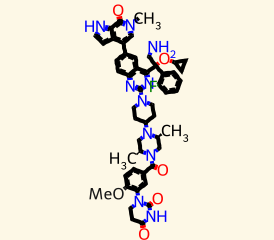 COc1ccc(C(=O)N2C[C@H](C)N(C3CCN(c4nc(C(CN)(OC5CC5)c5ccccc5F)c5cc(-c6cn(C)c(=O)c7[nH]ccc67)ccc5n4)CC3)C[C@H]2C)cc1N1CCC(=O)NC1=O